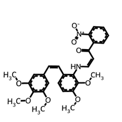 COc1cc(/C=C\c2ccc(OC)c(OC)c2N/C=C\C(=O)c2ccccc2[N+](=O)[O-])cc(OC)c1OC